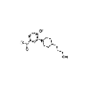 O=[N+]([O-])c1cc[n+]([O-])c(N2CCC(CCCO)CC2)c1